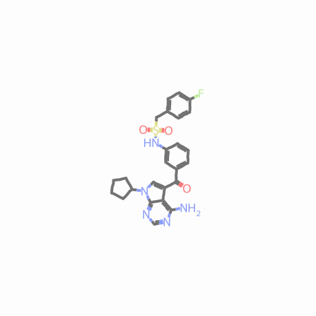 Nc1ncnc2c1c(C(=O)c1cccc(NS(=O)(=O)Cc3ccc(F)cc3)c1)cn2C1CCCC1